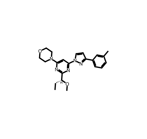 CC[C@@H](OC)c1nc(N2CCOCC2)cc(-n2ccc(-c3cccc(C)c3)n2)n1